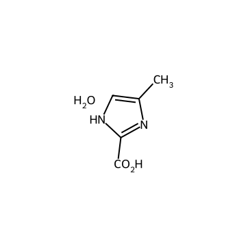 Cc1c[nH]c(C(=O)O)n1.O